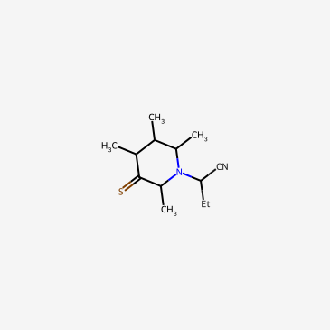 CCC(C#N)N1C(C)C(=S)C(C)C(C)C1C